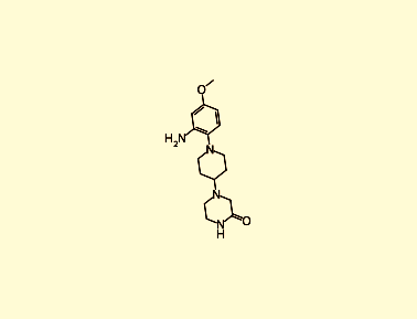 COc1ccc(N2CCC(N3CCNC(=O)C3)CC2)c(N)c1